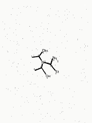 CCC(N)N(C(C)O)C(C)O